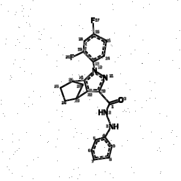 O=C(NNc1ccccc1)c1nn(-c2ccc(F)cc2F)c2c1C1CCC2C1